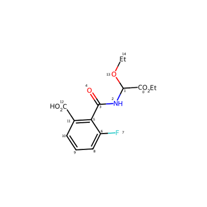 CCOC(=O)C(NC(=O)c1c(F)cccc1C(=O)O)OCC